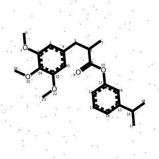 COc1cc(CC(C)C(=O)Oc2cccc(C(C)C)c2)cc(OC)c1OC